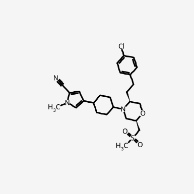 Cn1cc(C2CCC(N3C[C@H](CS(C)(=O)=O)OC[C@@H]3CCc3ccc(Cl)cc3)CC2)cc1C#N